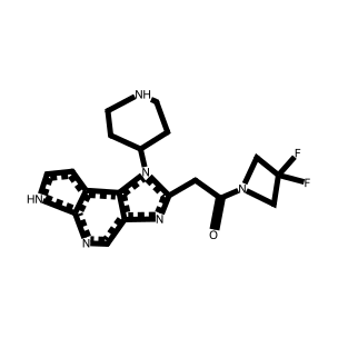 O=C(Cc1nc2cnc3[nH]ccc3c2n1C1CCNCC1)N1CC(F)(F)C1